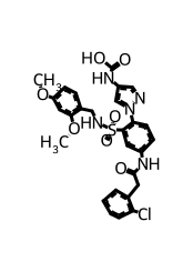 COc1ccc(CNS(=O)(=O)c2cc(NC(=O)Cc3ccccc3Cl)ccc2-n2cc(NC(=O)O)cn2)c(OC)c1